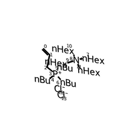 C=CC[P+](CCCC)(CCCC)CCCC.CCCCCC[N+](CCCCCC)(CCCCCC)CCCCCC.[Cl-].[Cl-]